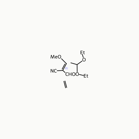 C=C.CCOC(C)OCC.CO/C=C(\C#N)C=O